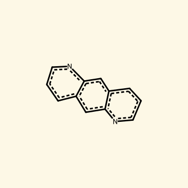 c1cnc2cc3cccnc3cc2c1